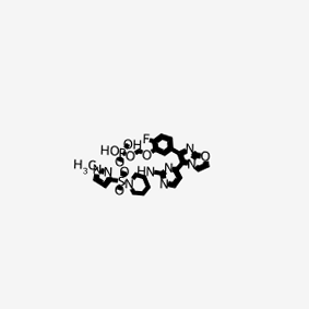 Cn1ccc(S(=O)(=O)N2CCC[C@@H](Nc3nccc(-c4c(-c5ccc(F)c(OCOP(=O)(O)O)c5)nc5occn45)n3)C2)n1